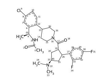 CC(=O)N[C@@H](C)c1cc(Cl)ccc1C1CCN(C(=O)C2C[C@H](N(C)C)CC2c2ccc(F)cc2F)CC1